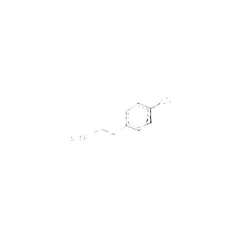 CC(=O)NCCc1ccc(C#N)cc1